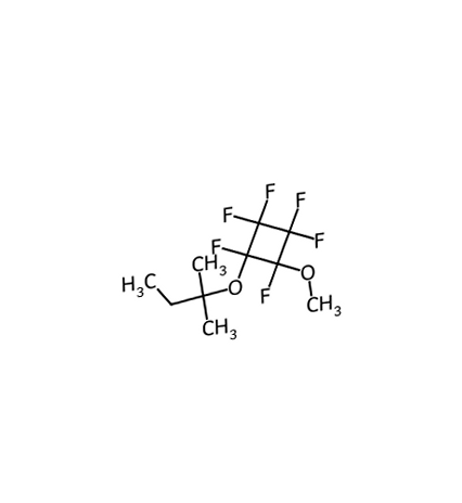 CCC(C)(C)OC1(F)C(F)(F)C(F)(F)C1(F)OC